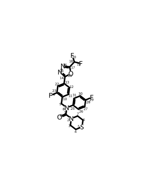 O=C(N1CCSCC1)N(Cc1ccc(-c2nnc(C(F)F)o2)cc1F)c1ccc(F)cc1